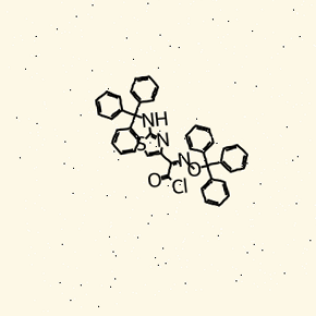 O=C(Cl)C(=NOC(c1ccccc1)(c1ccccc1)c1ccccc1)c1csc(NC(c2ccccc2)(c2ccccc2)c2ccccc2)n1